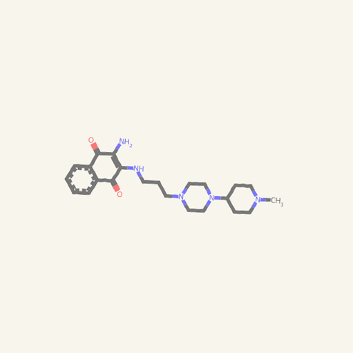 CN1CCC(N2CCN(CCCNC3=C(N)C(=O)c4ccccc4C3=O)CC2)CC1